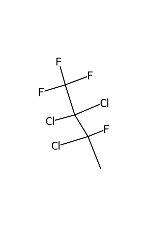 CC(F)(Cl)C(Cl)(Cl)C(F)(F)F